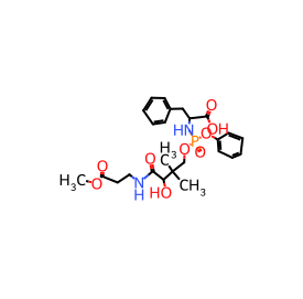 COC(=O)CCNC(=O)C(O)C(C)(C)COP(=O)(NC(Cc1ccccc1)C(=O)O)Oc1ccccc1